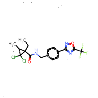 CCC1(C(=O)NCc2ccc(-c3noc(C(F)(F)F)n3)cc2)C(C)C1(Cl)Cl